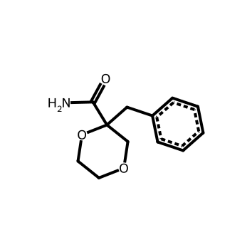 NC(=O)C1(Cc2ccccc2)COCCO1